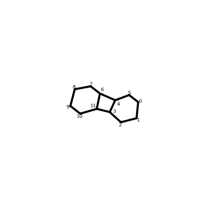 C1CCC2[C](C1)C1CCCCC21